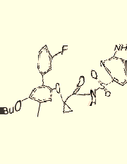 Cc1cc(OC2(C(=O)NS(=O)(=O)c3cccc(N)n3)CC2)c(-c2cccc(F)c2)cc1OCC(C)C